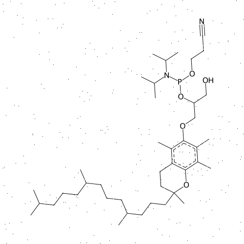 Cc1c(C)c2c(c(C)c1OCC(CO)OP(OCCC#N)N(C(C)C)C(C)C)CCC(C)(CCCC(C)CCCC(C)CCCC(C)C)O2